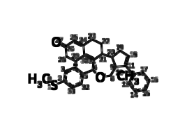 CSc1ccc(C2OC[C@]3(C)C(c4ccccc4)=CCC3C3CCC4=CC(=O)CCC4=C23)cc1